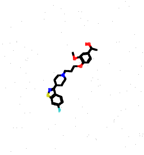 COc1cc(C(C)O)ccc1OCCCN1CCC(c2nsc3cc(F)ccc23)CC1